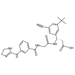 CC(C)(C)c1cc(C#N)cc([C@H](CC(=O)O)NC(=O)CNC(=O)c2cccc(NC3=NCCN3)c2)c1